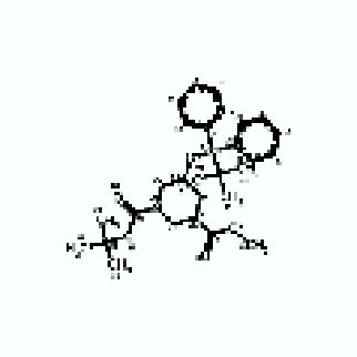 COC(=O)[C@@H]1C[C@H](O[Si](c2ccccc2)(c2ccccc2)C(C)(C)C)CN(C(=O)OC(C)(C)C)C1